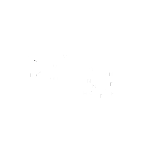 Cc1c(OC2CC(COc3cccc([C@H](C4CC4)[C@H](C)C(=O)O)c3)C2)nn(C)c1C(F)(F)F